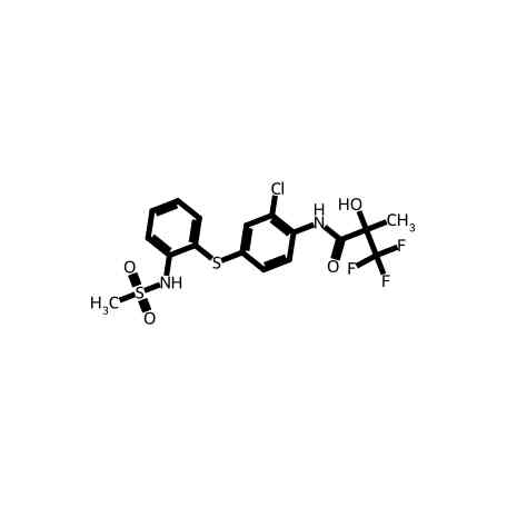 CC(O)(C(=O)Nc1ccc(Sc2ccccc2NS(C)(=O)=O)cc1Cl)C(F)(F)F